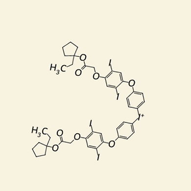 CCC1(OC(=O)COc2cc(I)c(Oc3ccc([I+]c4ccc(Oc5cc(I)c(OCC(=O)OC6(CC)CCCC6)cc5I)cc4)cc3)cc2I)CCCC1